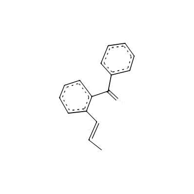 C/C=C/c1ccccc1C(=O)c1ccccc1